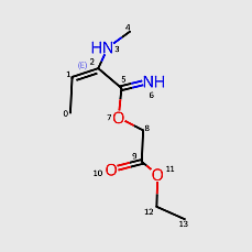 C/C=C(/NC)C(=N)OCC(=O)OCC